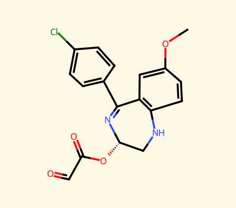 COc1ccc2c(c1)C(c1ccc(Cl)cc1)=N[C@@H](OC(=O)C=O)CN2